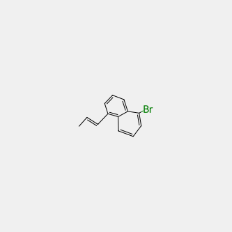 CC=Cc1cccc2c(Br)cccc12